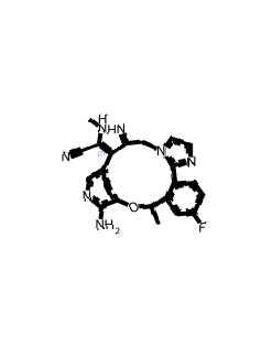 CN/C(C#N)=C1\C(=N)Cn2ccnc2-c2ccc(F)cc2C(C)Oc2cc1cnc2N